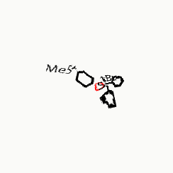 CSC[C@H]1CC[C@@H](O[Si](c2ccccc2)(c2ccccc2)C(C)(C)C)CC1